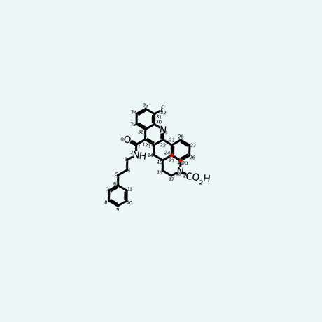 O=C(NCCCc1ccccc1)c1c(CC2CCN(C(=O)O)CC2)c(-c2ccccc2)nc2c(F)cccc12